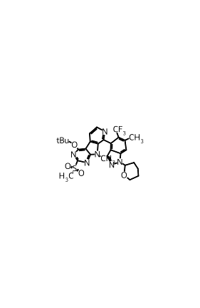 Cc1cc2c(cnn2C2CCCCO2)c(-c2nccc3c4c(OC(C)(C)C)nc(S(C)(=O)=O)nc4n(C)c23)c1C(F)(F)F